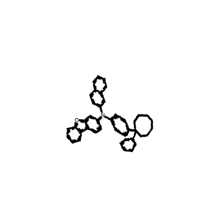 c1ccc(C2(c3ccc(N(c4ccc5ccccc5c4)c4ccc5c(c4)oc4ccccc45)cc3)CCCCCCC2)cc1